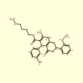 COCCCCOC(=O)C1=C(C)NC2=C(C(=O)CC(c3ccccc3OC)C2)C1c1cccc(O)c1